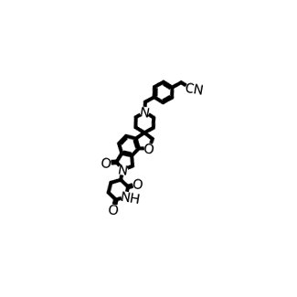 N#CCc1ccc(CN2CCC3(CC2)COc2c3ccc3c2CN(C2CCC(=O)NC2=O)C3=O)cc1